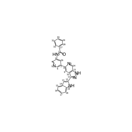 O=C(Nc1cncc(-c2cc3c(-c4cc5ccccc5[nH]4)n[nH]c3cn2)c1)c1ccccc1